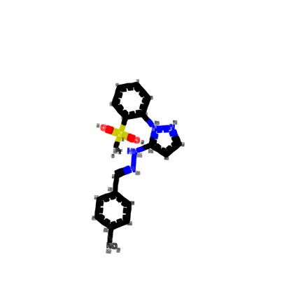 CC(C)S(=O)(=O)c1ccccc1-n1nccc1NN=Cc1ccc([N+](=O)[O-])cc1